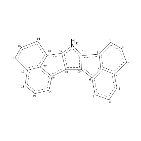 c1cc2cccc3c2c(c1)c1[nH]c2c4cccc5cccc(c54)c2c31